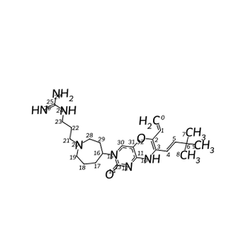 C=CC1=C(/C=C/C(C)(C)C)Nc2nc(=O)n(C3CCCN(CCCNC(=N)N)CC3)cc2O1